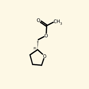 CC(=O)OC[C@H]1CCCO1